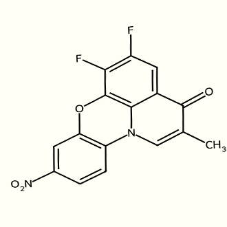 Cc1cn2c3c(c(F)c(F)cc3c1=O)Oc1cc([N+](=O)[O-])ccc1-2